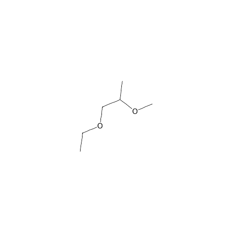 CCOCC(C)OC